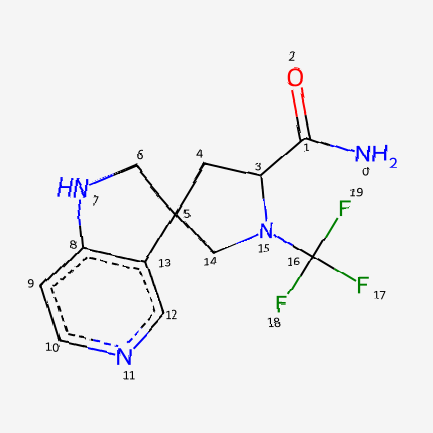 NC(=O)C1CC2(CNc3ccncc32)CN1C(F)(F)F